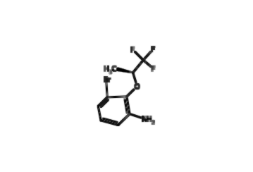 C[C@H](Oc1c(N)cccc1Br)C(F)(F)F